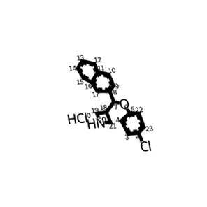 Cl.Clc1ccc(OC(c2ccc3ccccc3c2)C2CNC2)cc1